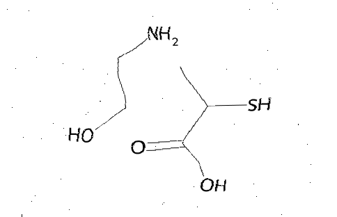 CC(S)C(=O)O.NCCO